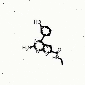 CCNC(=O)c1cc2c(-c3cccc(O)c3)nc(N)nc2s1